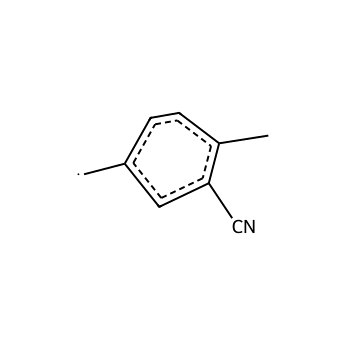 [CH2]c1ccc(C)c(C#N)c1